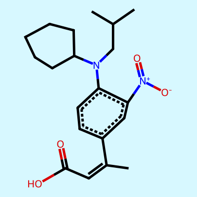 C/C(=C/C(=O)O)c1ccc(N(CC(C)C)C2CCCCC2)c([N+](=O)[O-])c1